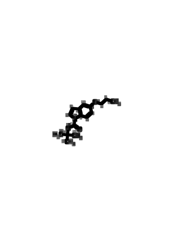 CCCOc1ccc2c(ccn2C(=O)OC(C)(C)C)c1